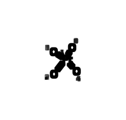 [O]=[Pt](=[O])(=[O])=[O]